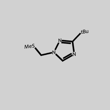 CSCn1cnc(C(C)(C)C)n1